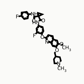 COc1cc2ccc(Oc3ccc(NC(=O)C4(C(=O)Nc5ccc(F)cc5)CC4)cc3F)nc2cc1OCC1CCN(C)CC1